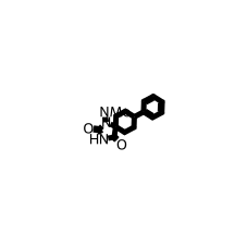 CNN1C(=O)NC(=O)C12CCC(c1ccccc1)CC2